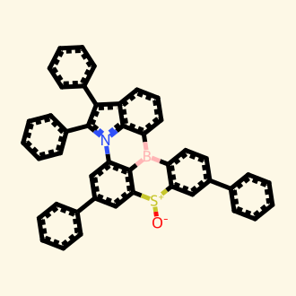 [O-][S+]1c2cc(-c3ccccc3)ccc2B2c3c(cc(-c4ccccc4)cc31)-n1c(-c3ccccc3)c(-c3ccccc3)c3cccc2c31